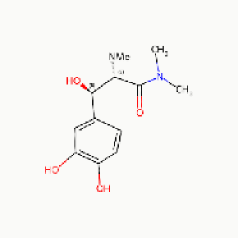 CN[C@H](C(=O)N(C)C)[C@H](O)c1ccc(O)c(O)c1